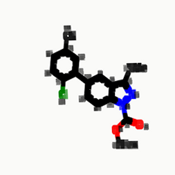 CCCCCCOC(=O)n1nc(NC)c2cc(-c3cc(C#N)ccc3Cl)ccc21